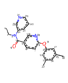 CCN(C(=O)c1ccc(Oc2cc(C)cc(C)c2)nc1)c1cccnc1